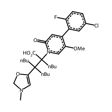 CCCCC(CCCC)(C1=CN(C)CO1)C(CCCC)(C(=O)O)n1cc(OC)c(-c2cc(Cl)ccc2F)cc1=O